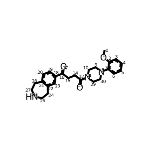 COc1ccccc1N1CCN(C(=O)CCC(=O)c2ccc3c(c2)CCNCC3)CC1